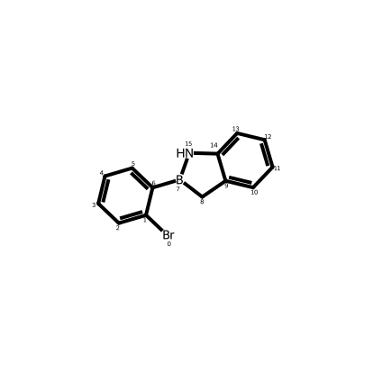 Brc1ccccc1B1Cc2ccccc2N1